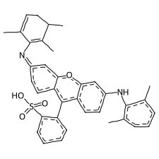 CC1=CCC(C)C(C)=C1/N=c1/ccc2c(-c3ccccc3S(=O)(=O)O)c3ccc(Nc4c(C)cccc4C)cc3oc-2c1